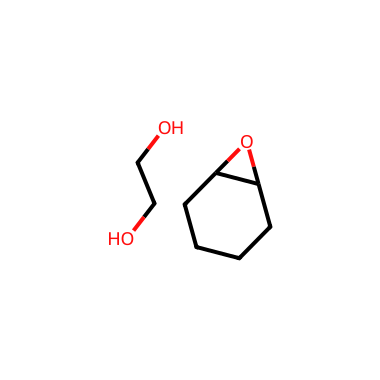 C1CCC2OC2C1.OCCO